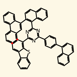 c1ccc2c(-c3ccc(-c4nc(-c5c(-c6cc7ccccc7c7ccccc67)ccc6ccccc56)nc(-c5cccc6c5sc5ccccc56)n4)cc3)cccc2c1